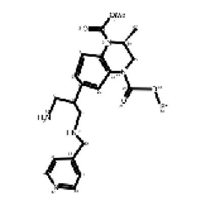 COC(=O)N1c2ccc(C(CN)CNCc3ccncc3)cc2N(C(=O)OC(C)C)C[C@@H]1C